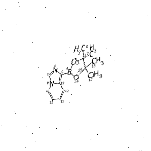 CC1(C)OB(c2ncn3ccccc23)OC1(C)C